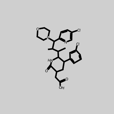 CC(C(C)C(c1ccc(Cl)cn1)N1CCOCC1)C1NC(=O)C(CC(=O)O)CC1c1cccc(Cl)c1